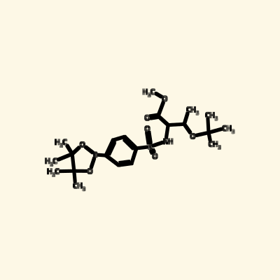 COC(=O)C(NS(=O)(=O)c1ccc(B2OC(C)(C)C(C)(C)O2)cc1)C(C)OC(C)(C)C